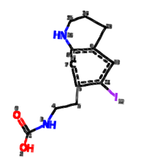 O=C(O)NCCc1cc2c(cc1I)CCCN2